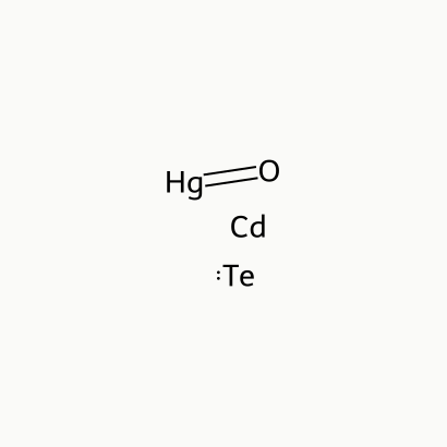 [Cd].[O]=[Hg].[Te]